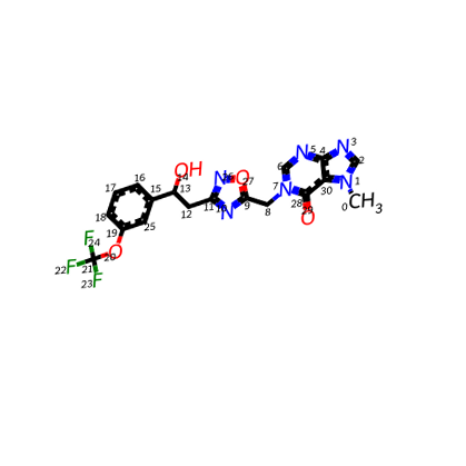 Cn1cnc2ncn(Cc3nc(CC(O)c4cccc(OC(F)(F)F)c4)no3)c(=O)c21